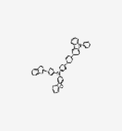 c1ccc(-n2c3ccccc3c3cc(-c4ccc(-c5ccc(N(c6ccc(-c7ccc8ccccc8c7)cc6)c6ccc7oc8ccccc8c7c6)cc5)cc4)ccc32)cc1